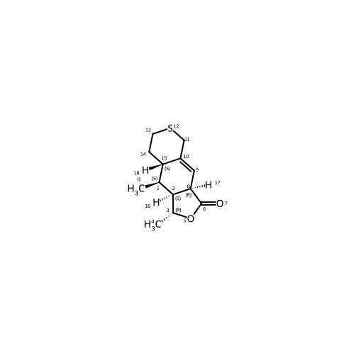 C[C@@H]1[C@@H]2[C@@H](C)OC(=O)[C@@H]2C=C2CSCC[C@H]21